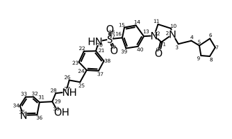 O=C1N(CCC2CCCC2)CCN1c1ccc(S(=O)(=O)Nc2ccc(CCNCC(O)c3cccnc3)cc2)cc1